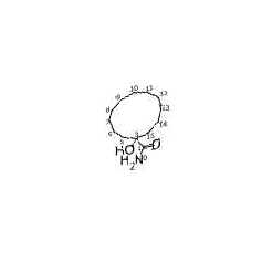 NC(=O)C1(O)CCCCCCCCCCC1